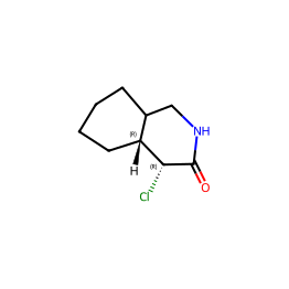 O=C1NCC2CCCC[C@H]2[C@H]1Cl